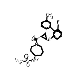 Cc1ccc([C@@H]2C[C@H]2C(=O)N2CCC[C@@H](NS(C)(=O)=O)CC2)c(-c2c(F)cccc2F)c1